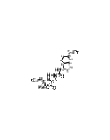 COC(=O)[C@H](CNC(=O)N[C@H]1CCc2cc(CC(C)C)ccc21)NC(=O)OC(C)(C)C